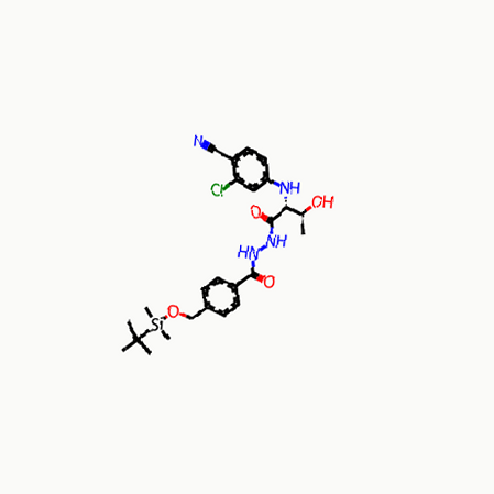 C[C@H](O)[C@@H](Nc1ccc(C#N)c(Cl)c1)C(=O)NNC(=O)c1ccc(CO[Si](C)(C)C(C)(C)C)cc1